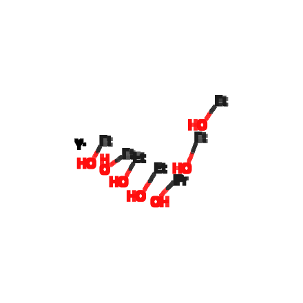 CC(C)O.CCO.CCO.CCO.CCO.CCO.CCO.[Y]